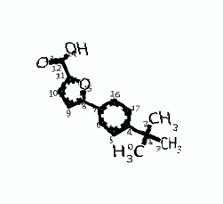 CC(C)(C)c1ccc(-c2ccc(C(=O)O)o2)cc1